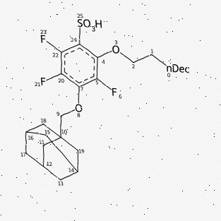 CCCCCCCCCCCCOc1c(F)c(OCC23CC4CC(CC(C4)C2)C3)c(F)c(F)c1S(=O)(=O)O